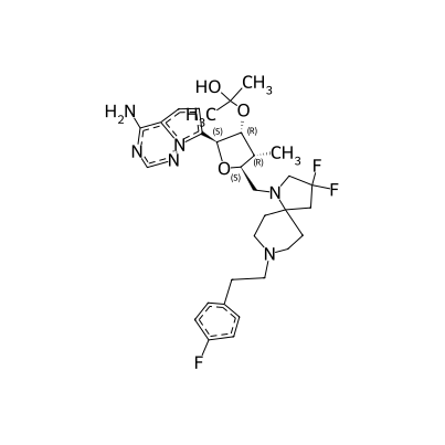 C[C@H]1[C@@H](OC(C)(C)O)[C@H](c2ccc3c(N)ncnn23)O[C@@H]1CN1CC(F)(F)CC12CCN(CCc1ccc(F)cc1)CC2